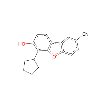 N#Cc1ccc2oc3c(C4CCCC4)c(O)ccc3c2c1